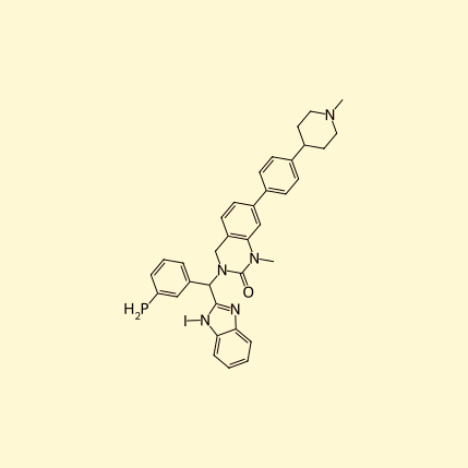 CN1CCC(c2ccc(-c3ccc4c(c3)N(C)C(=O)N(C(c3cccc(P)c3)c3nc5ccccc5n3I)C4)cc2)CC1